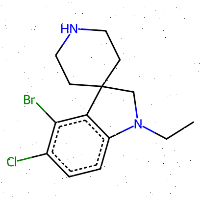 CCN1CC2(CCNCC2)c2c1ccc(Cl)c2Br